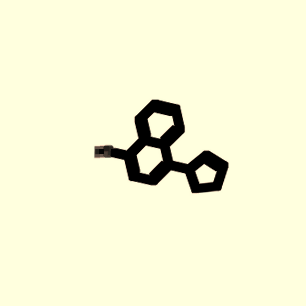 Oc1ccc(C2C=CCC2)c2ccccc12